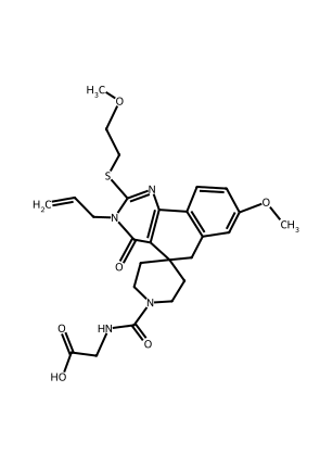 C=CCn1c(SCCOC)nc2c(c1=O)C1(CCN(C(=O)NCC(=O)O)CC1)Cc1cc(OC)ccc1-2